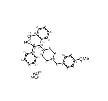 COc1ccc(CN2CCN([C@@H](c3ccccc3Cl)[C@H](O)c3ccccc3)CC2)cc1.Cl.Cl